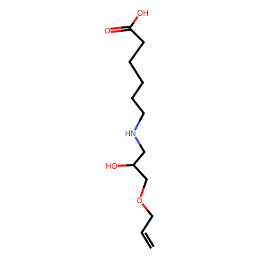 C=CCOCC(O)CNCCCCCC(=O)O